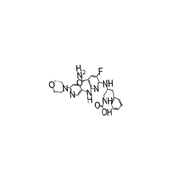 NC(=O)c1cc(F)c(NC(CNC(=O)O)Cc2ccccc2)nc1Nc1ccc(N2CCOCC2)nc1